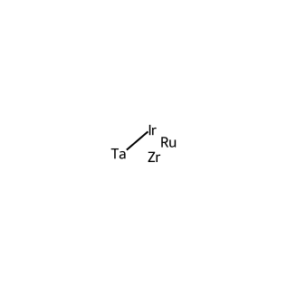 [Ru].[Ta][Ir].[Zr]